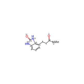 CNC(=O)CCc1cccc2[nH]c(=O)[nH]c12